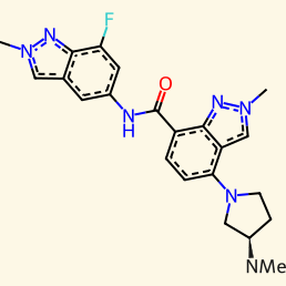 CN[C@@H]1CCN(c2ccc(C(=O)Nc3cc(F)c4nn(C)cc4c3)c3nn(C)cc23)C1